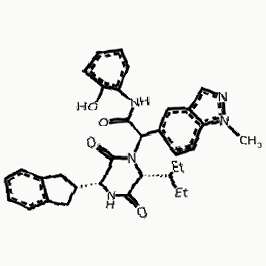 CCC(CC)[C@@H]1C(=O)N[C@H](C2Cc3ccccc3C2)C(=O)N1C(C(=O)Nc1ccccc1O)c1ccc2c(cnn2C)c1